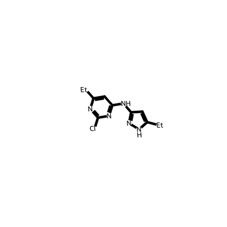 CCc1cc(Nc2cc(CC)[nH]n2)nc(Cl)n1